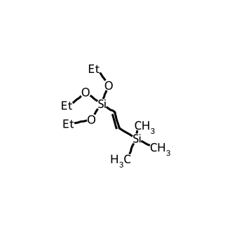 CCO[Si](/C=C/[Si](C)(C)C)(OCC)OCC